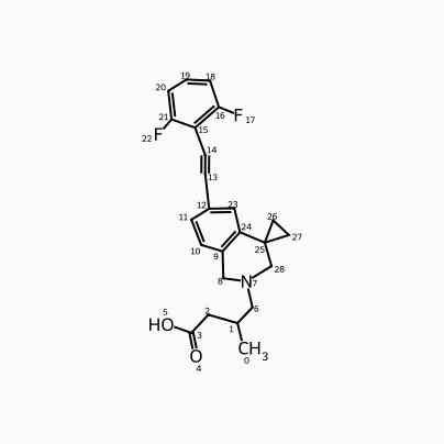 CC(CC(=O)O)CN1Cc2ccc(C#Cc3c(F)cccc3F)cc2C2(CC2)C1